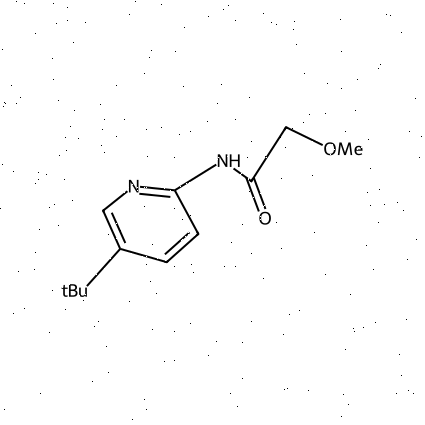 COCC(=O)Nc1ccc(C(C)(C)C)cn1